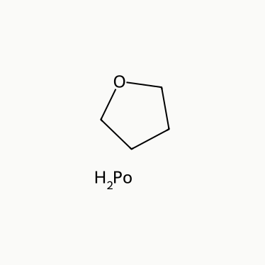 C1CCOC1.[PoH2]